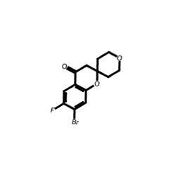 O=C1CC2(CCOCC2)Oc2cc(Br)c(F)cc21